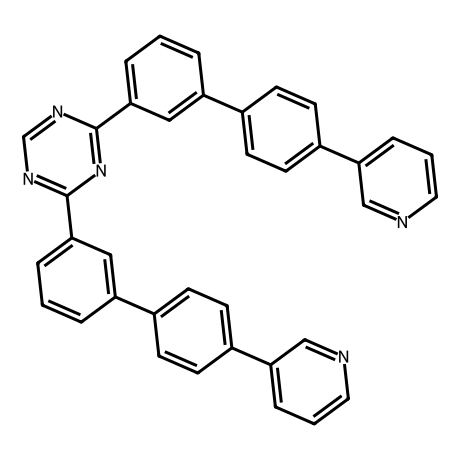 c1cncc(-c2ccc(-c3cccc(-c4ncnc(-c5cccc(-c6ccc(-c7cccnc7)cc6)c5)n4)c3)cc2)c1